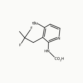 CC(F)(F)Cc1c(C(C)(C)C)ccnc1NC(=O)O